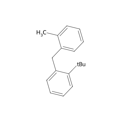 Cc1ccccc1Cc1ccccc1C(C)(C)C